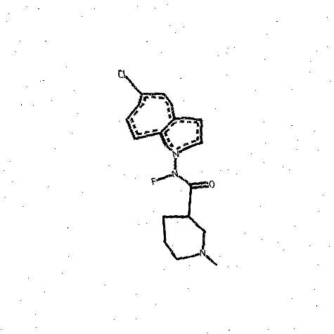 CN1CCCC(C(=O)N(F)n2ccc3cc(Cl)ccc32)C1